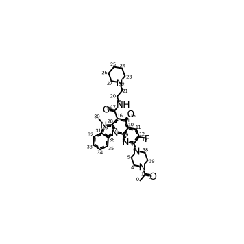 CC(=O)N1CCN(c2nc3c(cc2F)c(=O)c(C(=O)NCCN2CCCCC2)c2n(C)c4ccccc4n32)CC1